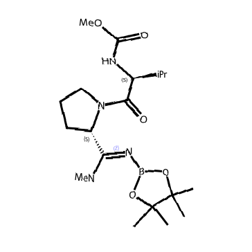 CN/C(=N\B1OC(C)(C)C(C)(C)O1)[C@@H]1CCCN1C(=O)[C@@H](NC(=O)OC)C(C)C